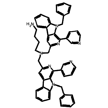 NCCCCN(Cc1cc2c3ccccc3n(Cc3ccccc3)c2c(-c2cccnc2)n1)Cc1cc2c3ccccc3n(Cc3ccccc3)c2c(-c2cccnc2)n1